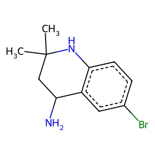 CC1(C)CC(N)c2cc(Br)ccc2N1